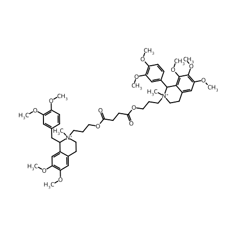 COc1ccc(CC2c3cc(OC)c(OC)cc3CC[N+]2(C)CCCOC(=O)CCC(=O)OCCC[N+]2(C)CCc3cc(OC)c(OC)c(OC)c3C2c2ccc(OC)c(OC)c2)cc1OC